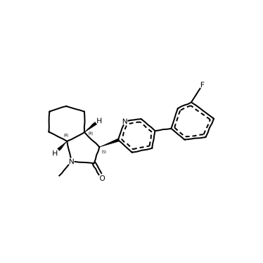 CN1C(=O)[C@H](c2ccc(-c3cccc(F)c3)cn2)[C@H]2CCCC[C@H]21